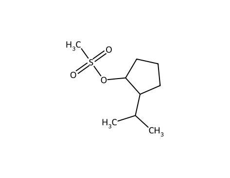 CC(C)C1CCCC1OS(C)(=O)=O